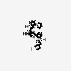 O=C(CC1CCNCC1)Nc1cncc(-c2cc3c(-c4cc5c(N6CCCCC6)ccnc5[nH]4)n[nH]c3cn2)c1